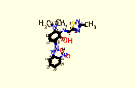 Cc1nsc(/C=N/c2c(N(C)C)ccc(/N=N/c3ccccc3[N+](=O)[O-])c2O)n1